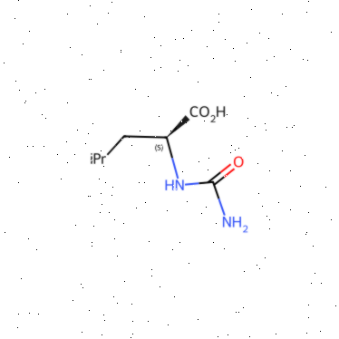 CC(C)C[C@H](NC(N)=O)C(=O)O